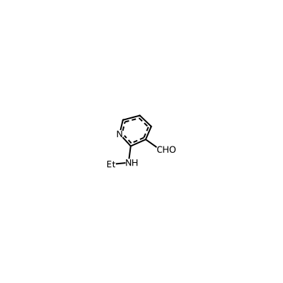 CCNc1ncccc1C=O